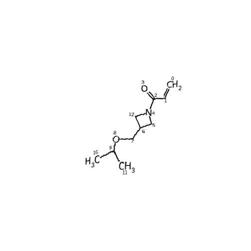 C=CC(=O)N1CC(COC(C)C)C1